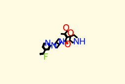 C=C(F)c1ccnc(N2CC3C2CN3C(=O)C2=C(C)C(=O)OC23CCNCC3)c1